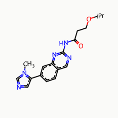 CC(C)OCCC(=O)Nc1ncc2ccc(-c3cncn3C)cc2n1